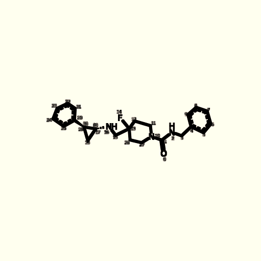 O=C(NCc1ccccc1)N1CCC(F)(CN[C@@H]2C[C@H]2c2ccccc2)CC1